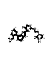 CN(C)Cc1cnc(F)cc1-c1cccc2cc(-c3nc(NCCN4CCNC4=O)ncc3F)sc12